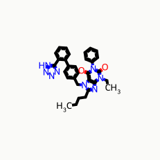 CCCCc1nc2c(c(=O)n(-c3ccccc3)c(=O)n2CC)n1Cc1ccc(-c2ccccc2-c2nnn[nH]2)cc1